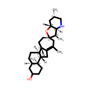 CC1=C2C[C@H]3[C@@H](CC[C@@H]4CC(O)CC[C@@]43C)[C@@H]2CC[C@@]2(C1)O[C@@H]1C[C@H](C)CN[C@H]1[C@H]2C